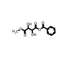 COC(=O)C(O)C(O)C(=O)OC(=O)c1ccccc1